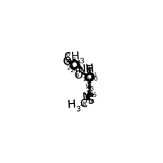 COc1ccc(NC(=O)c2cc(C#Cc3csc(C)n3)ccc2F)cc1